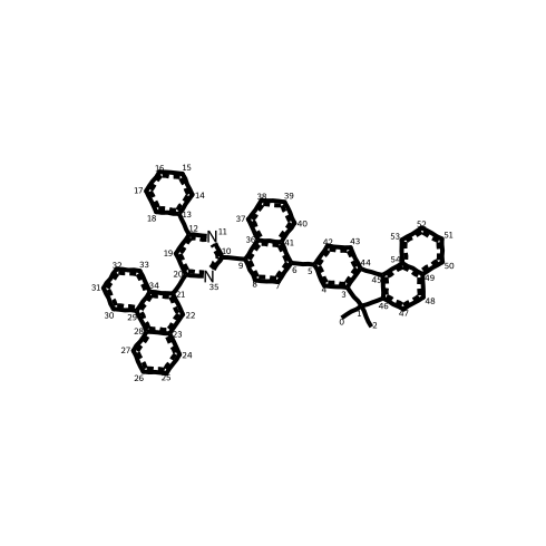 CC1(C)c2cc(-c3ccc(-c4nc(-c5ccccc5)cc(-c5cc6ccccc6c6ccccc56)n4)c4ccccc34)ccc2-c2c1ccc1ccccc21